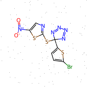 O=[N+]([O-])c1cnc(SC2(c3ccc(Br)s3)N=NN=N2)s1